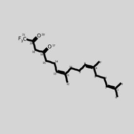 CC(C)=CCCC(C)=CCCC(C)=CCCC(=O)CC(=O)C(F)(F)F